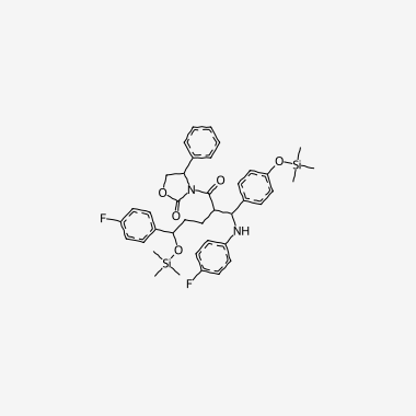 C[Si](C)(C)Oc1ccc(C(Nc2ccc(F)cc2)C(CCC(O[Si](C)(C)C)c2ccc(F)cc2)C(=O)N2C(=O)OCC2c2ccccc2)cc1